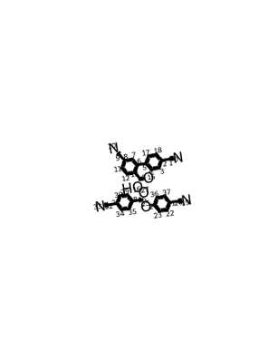 N#Cc1ccc(-c2cc(C#N)ccc2C(=O)O)cc1.N#Cc1ccc(OC(=O)c2ccc(C#N)cc2)cc1